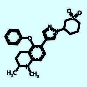 C[C@H]1CCc2c(ccc(-c3cnn(C4CCCS(=O)(=O)C4)c3)c2Oc2ccccc2)N1C